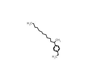 C=Cc1ccc(C(C)CCCCCCCCCCC)cc1